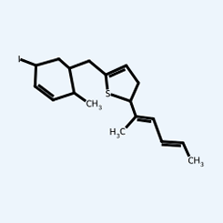 C/C=C/C=C(\C)C1CC=C(CC2CC(I)C=CC2C)S1